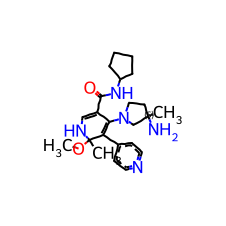 COC1(C)NC=C(C(=O)NC2CCCC2)C(N2CC[C@](C)(N)C2)=C1c1ccncc1